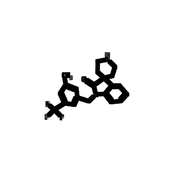 Cc1cc(CN2C(=O)C3(CCNCC3)c3ccccc32)cc(C(F)(F)F)c1